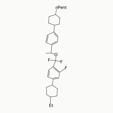 CCCCCC1CCC(c2ccc(C(C)OC(F)(F)c3ccc(C4CCC(CC)CC4)cc3F)cc2)CC1